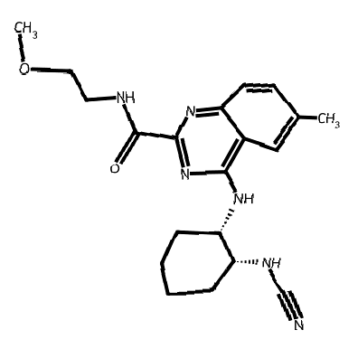 COCCNC(=O)c1nc(N[C@H]2CCCC[C@H]2NC#N)c2cc(C)ccc2n1